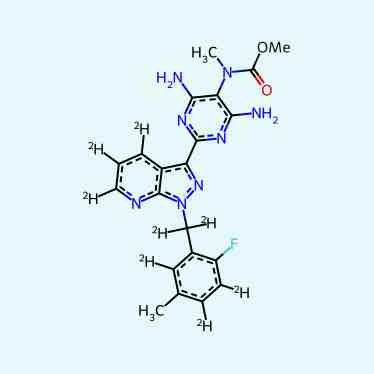 [2H]c1nc2c(c(-c3nc(N)c(N(C)C(=O)OC)c(N)n3)nn2C([2H])([2H])c2c([2H])c(C)c([2H])c([2H])c2F)c([2H])c1[2H]